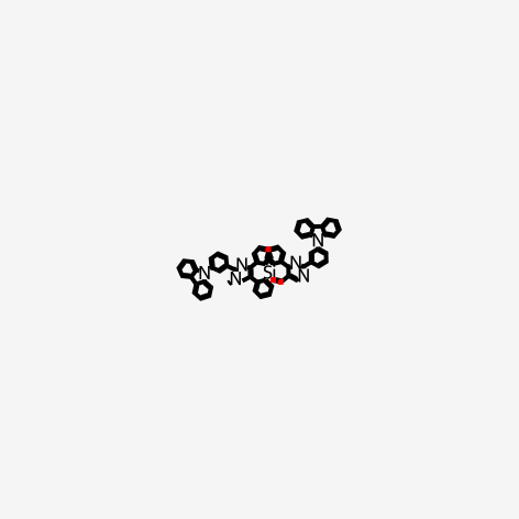 C=N/C(=N\C1=C(C)c2ccccc2[Si]2(c3ccccc31)c1ccccc1-c1cnc(-c3cccc(-n4c5ccccc5c5ccccc54)c3)nc1-c1ccccc12)c1cccc(-n2c3ccccc3c3ccccc32)c1